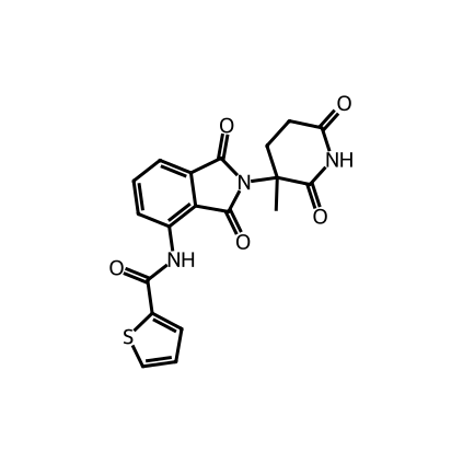 CC1(N2C(=O)c3cccc(NC(=O)c4cccs4)c3C2=O)CCC(=O)NC1=O